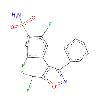 NS(=O)(=O)c1cc(F)c(-c2c(-c3ccccc3)noc2C(F)F)cc1F